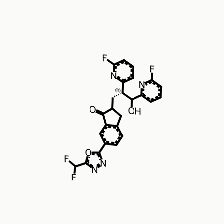 O=C1c2cc(-c3nnc(C(F)F)o3)ccc2CC1C[C@H](c1cccc(F)n1)C(O)c1cccc(F)n1